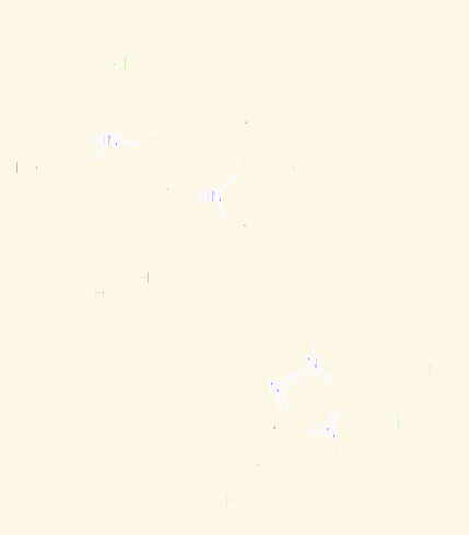 CSC[C@H](C)NC(=O)c1c(Cl)cccc1C(=O)Nc1cc(Cn2nc(C(F)(F)F)nc2C(F)(F)F)sc1C